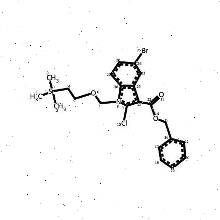 C[Si](C)(C)CCOCn1c(Cl)c(C(=O)OCc2ccccc2)c2cc(Br)ccc21